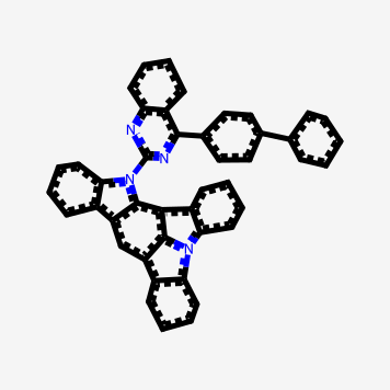 c1ccc(-c2ccc(-c3nc(-n4c5ccccc5c5cc6c7ccccc7n7c8ccccc8c(c54)c67)nc4ccccc34)cc2)cc1